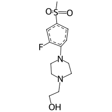 CS(=O)(=O)c1ccc(N2CCN(CCO)CC2)c(F)c1